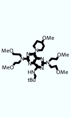 COCCN(CCOC)c1nc(N2CCC(OC)CC2)c2nc(N(CCOC)CCOC)nc(NCC(C)(C)C)c2n1